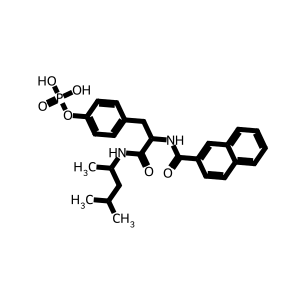 CC(C)CC(C)NC(=O)C(Cc1ccc(OP(=O)(O)O)cc1)NC(=O)c1ccc2ccccc2c1